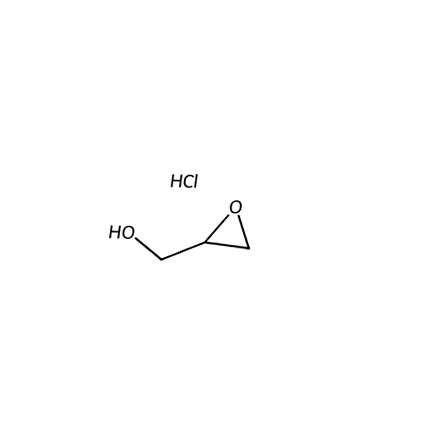 Cl.OCC1CO1